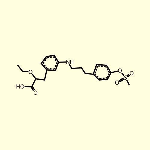 CCOC(Cc1cccc(NCCCc2ccc(OS(C)(=O)=O)cc2)c1)C(=O)O